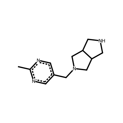 Cc1ncc(CN2CC3CNCC3C2)cn1